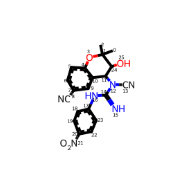 CC1(C)Oc2ccc(C#N)cc2C(N(C#N)C(=N)Nc2ccc([N+](=O)[O-])cc2)C1O